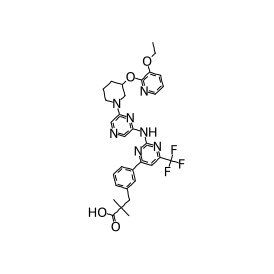 CCOc1cccnc1OC1CCCN(c2cncc(Nc3nc(-c4cccc(CC(C)(C)C(=O)O)c4)cc(C(F)(F)F)n3)n2)C1